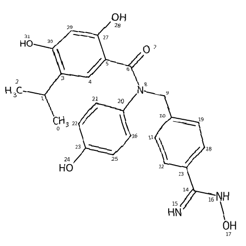 CC(C)c1cc(C(=O)N(Cc2ccc(C(=N)NO)cc2)c2ccc(O)cc2)c(O)cc1O